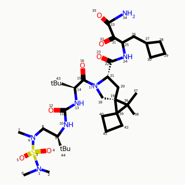 CN(C)S(=O)(=O)N(C)C[C@@H](NC(=O)N[C@H](C(=O)N1C[C@]2(C[C@H]1C(=O)NC(CC1CCC1)C(=O)C(N)=O)C(C)(C)C21CCC1)C(C)(C)C)C(C)(C)C